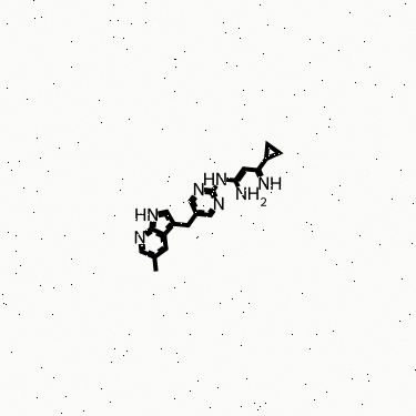 Cc1cnc2[nH]cc(Cc3cnc(N/C(N)=C/C(=N)C4CC4)nc3)c2c1